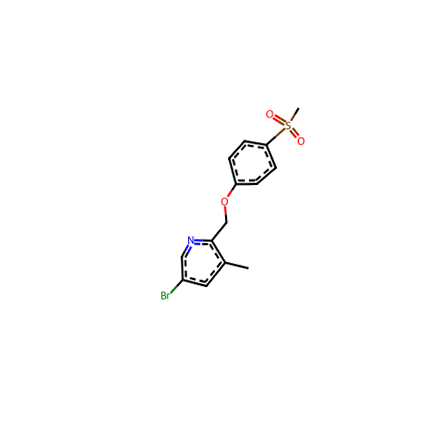 Cc1cc(Br)cnc1COc1ccc(S(C)(=O)=O)cc1